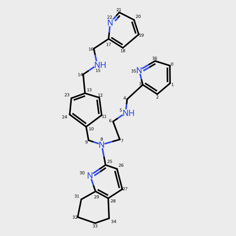 c1ccc(CNCCN(Cc2ccc(CNCc3ccccn3)cc2)c2ccc3c(n2)CCCC3)nc1